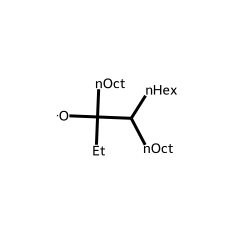 CCCCCCCCC(CCCCCC)C([O])(CC)CCCCCCCC